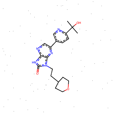 CC(C)(O)c1ccc(-c2cnc3[nH]c(=O)n(CCC4CCOCC4)c3n2)cn1